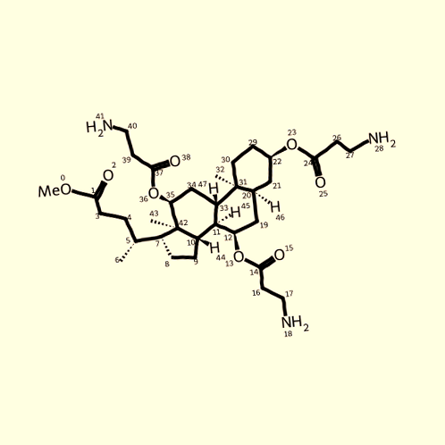 COC(=O)CC[C@@H](C)[C@H]1CC[C@H]2[C@@H]3[C@H](OC(=O)CCN)C[C@@H]4C[C@H](OC(=O)CCN)CC[C@]4(C)[C@H]3C[C@H](OC(=O)CCN)[C@]12C